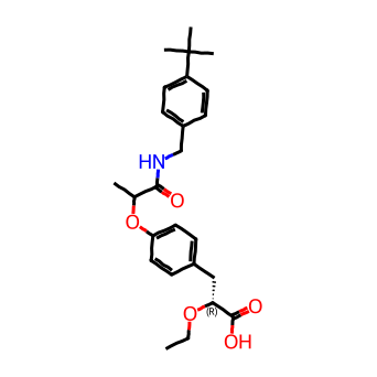 CCO[C@H](Cc1ccc(OC(C)C(=O)NCc2ccc(C(C)(C)C)cc2)cc1)C(=O)O